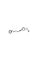 CC#CCCCC=O